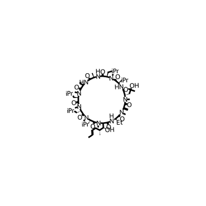 C=C1C(=O)N(C)[C@@H](CC(C)(C)O)C(=O)N[C@H](C(C)C)C(=O)N(C)[C@H](CC(C)C)C(=O)N[C@H](C)C(=O)NC(C)C(=O)N(C)[C@H](CC(C)C)C(=O)N(C)[C@@H](CC(C)C)C(=O)N(C)[C@@H](C(C)C)C(=O)N(C)C([C@H](O)[C@H](C)C/C=C/C)C(=O)N[C@@H](CC)C(=O)N1C